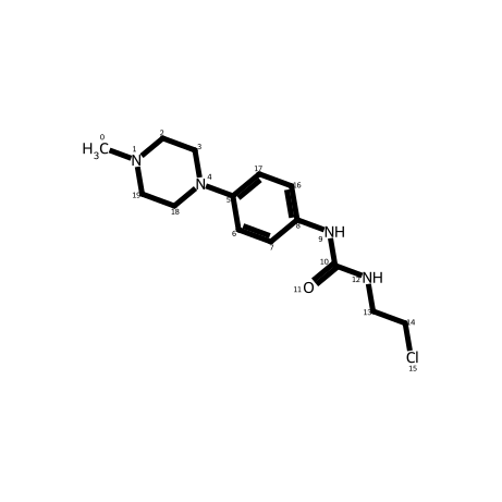 CN1CCN(c2ccc(NC(=O)NCCCl)cc2)CC1